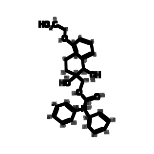 O=C(O)COc1cccc2c1CCC(O)(COC(=O)N(c1ccccc1)c1ccccc1)C2O